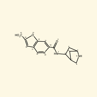 O=C(NC1CC2CC1CN2)c1cc2oc(C(=O)O)cc2cn1